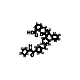 O=C(O)c1cccc(CN2C[C@@H](c3ccccc3)N(C3CCN(Cc4ccc(C(=O)NC5CCCCC5)cc4)CC3)C2=O)c1